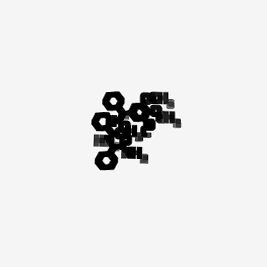 COc1cc([C@@H](C(=O)N2CCCCC2C(=O)N[C@H](C(N)=O)C2CCCCC2)C2CCCCC2)cc(OC)c1OC